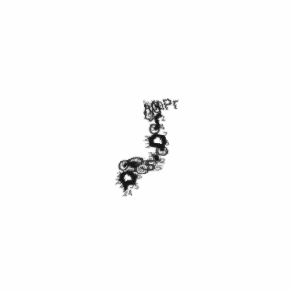 CCCOCC(COc1ccc(OCCS(C)(C)OS(=O)(=O)c2ccc(C)cc2)cc1)OCCC